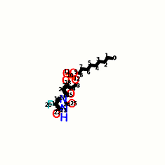 CCCCCCCCCOP1(=O)OCc2oc(-n3cc(F)c(=O)[nH]c3=O)cc2O1